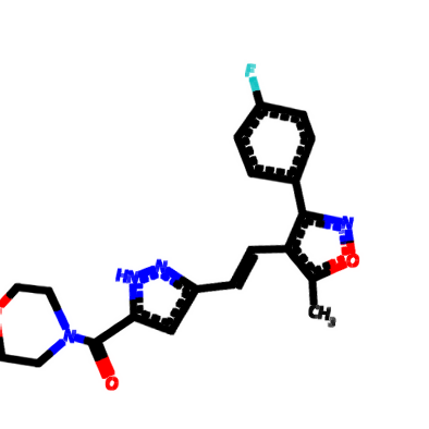 Cc1onc(-c2ccc(F)cc2)c1C=Cc1cc(C(=O)N2CCOCC2)[nH]n1